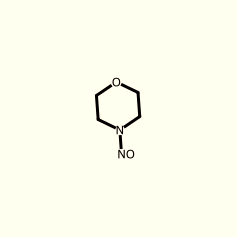 O=[15N]N1CCOCC1